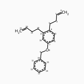 C=CCCc1[c]cc(OCc2ccccc2)cc1CCC=C